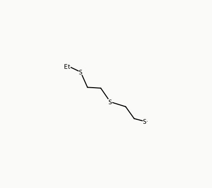 [CH2]CSCCSCC[S]